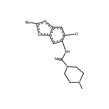 CN1CCN(C(=S)Nc2cc3sc(C(C)(C)C)nc3cc2Cl)CC1